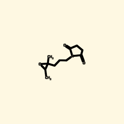 CC1OC1(C)CCCN1C(=O)CCC1=O